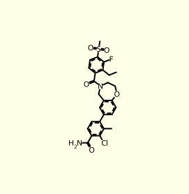 CCc1c(C(=O)N2CCOc3ccc(-c4ccc(C(N)=O)c(Cl)c4C)cc3C2)ccc(S(C)(=O)=O)c1F